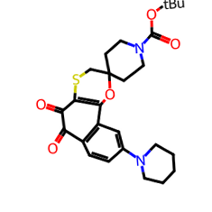 CC(C)(C)OC(=O)N1CCC2(CC1)CSC1=C(O2)c2cc(N3CCCCC3)ccc2C(=O)C1=O